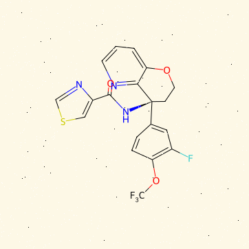 O=C(N[C@]1(c2ccc(OC(F)(F)F)c(F)c2)CCOc2cccnc21)c1cscn1